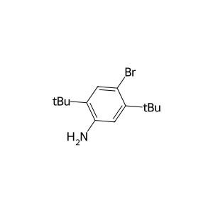 CC(C)(C)c1cc(Br)c(C(C)(C)C)cc1N